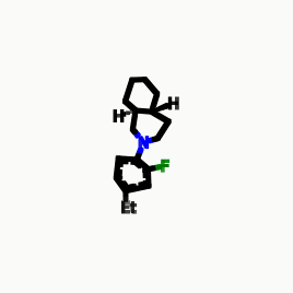 CCc1ccc(N2CC[C@H]3CCCC[C@@H]3C2)c(F)c1